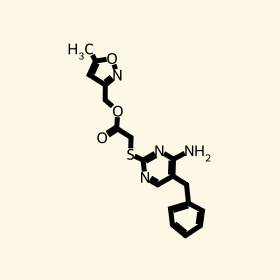 Cc1cc(COC(=O)CSc2ncc(Cc3ccccc3)c(N)n2)no1